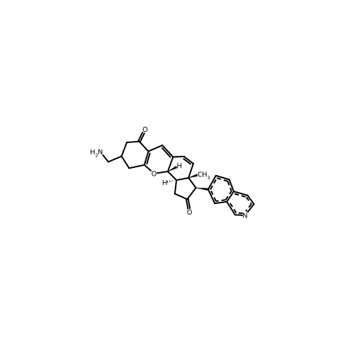 C[C@]12C=CC3=CC4=C(CC(CN)CC4=O)O[C@H]3[C@@H]1CC(=O)[C@@H]2c1ccc2ccncc2c1